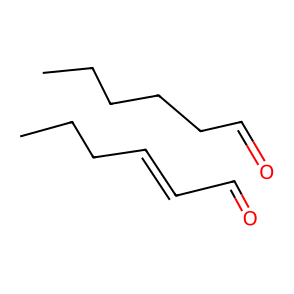 CCC/C=C/C=O.CCCCCC=O